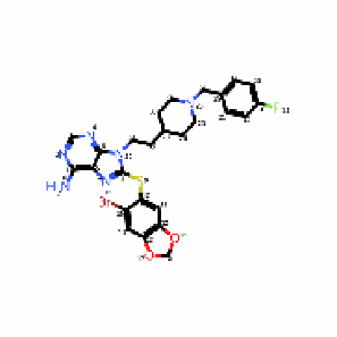 Nc1ncnc2c1nc(Sc1cc3c(cc1Br)OCO3)n2CCC1CCN(Cc2ccc(F)cc2)CC1